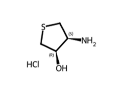 Cl.N[C@@H]1CSC[C@@H]1O